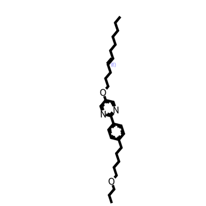 CCCCCC/C=C/CCCOc1cnc(-c2ccc(CCCCCOCCC)cc2)nc1